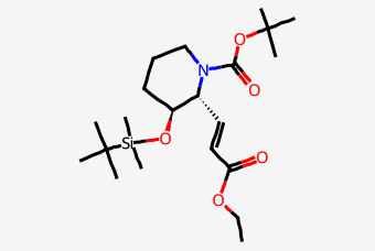 CCOC(=O)/C=C/[C@@H]1[C@@H](O[Si](C)(C)C(C)(C)C)CCCN1C(=O)OC(C)(C)C